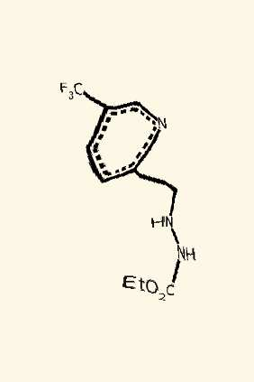 CCOC(=O)NNCc1ccc(C(F)(F)F)cn1